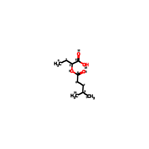 CCC(OC(=O)CCC(C)C)C(=O)O